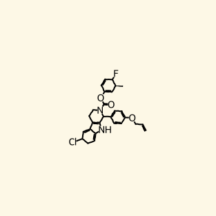 C=CCOc1ccc(C2c3[nH]c4c(c3CCN2C(=O)OC2=C[C@H](C)C(F)C=C2)=CC(Cl)CC=4)cc1